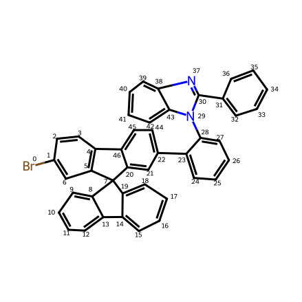 Brc1ccc2c(c1)C1(c3ccccc3-c3ccccc31)c1cc(-c3ccccc3-n3c(-c4ccccc4)nc4ccccc43)ccc1-2